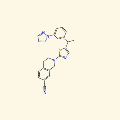 CC(c1cccc(-n2cccn2)c1)c1cnc(N2CCc3ccc(C#N)cc3C2)s1